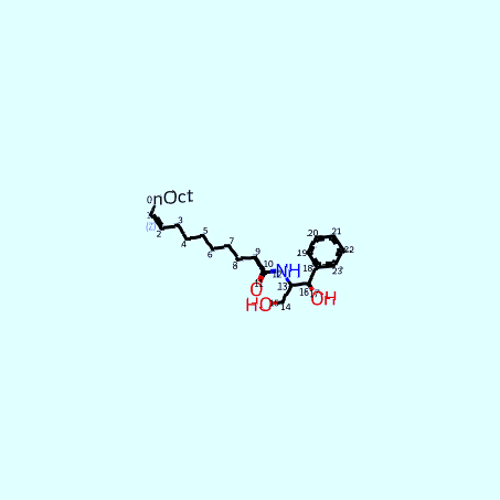 CCCCCCCC/C=C\CCCCCCCC(=O)NC(CO)C(O)c1ccccc1